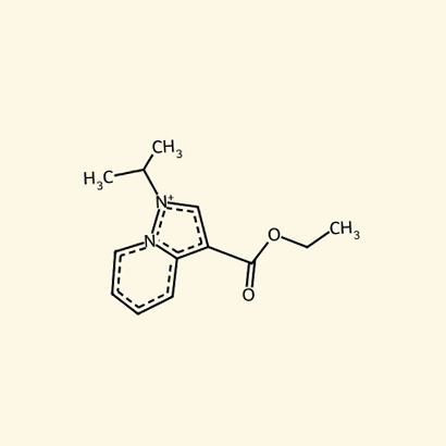 CCOC(=O)c1c[n+](C(C)C)n2ccccc12